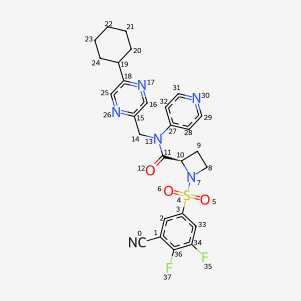 N#Cc1cc(S(=O)(=O)N2CC[C@@H]2C(=O)N(Cc2cnc(C3CCCCC3)cn2)c2ccncc2)cc(F)c1F